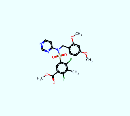 COC(=O)c1cc(S(=O)(=O)N(Cc2ccc(OC)cc2OC)c2ccncn2)c(F)c(C)c1F